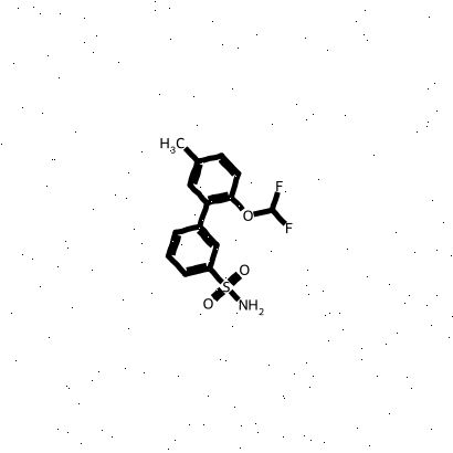 Cc1ccc(OC(F)F)c(-c2cccc(S(N)(=O)=O)c2)c1